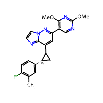 COc1ncc(-c2cc(C3C[C@@H]3c3ccc(F)c(C(F)(F)F)c3)c3nccn3n2)c(OC)n1